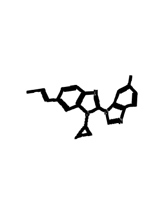 C/C=C/c1ccc2nc(-n3cnc4ccc(C)cc43)n(C3CC3)c2c1